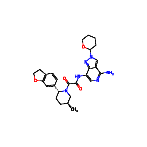 C[C@H]1CC[C@H](c2ccc3c(c2)OCC3)N(C(=O)C(=O)Nc2cnc(N)c3cn(C4CCCCO4)nc23)C1